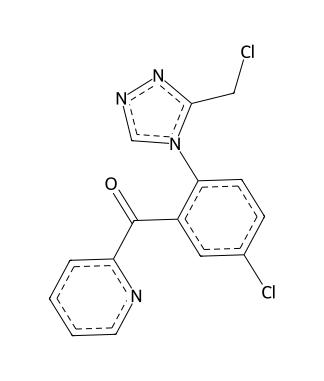 O=C(c1ccccn1)c1cc(Cl)ccc1-n1cnnc1CCl